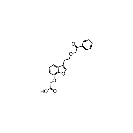 O=C(O)COc1cccc2c(CCOCC(=O)c3ccccc3)coc12